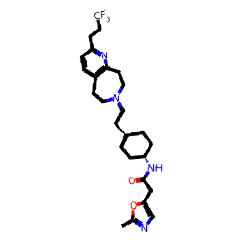 Cc1ncc(CC(=O)N[C@H]2CC[C@H](CCN3CCc4ccc(CCC(F)(F)F)nc4CC3)CC2)o1